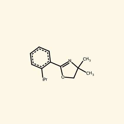 CC(C)c1ccccc1C1=NC(C)(C)CO1